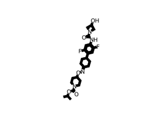 CC(C)OC(=O)N1CCC(ON=C2CCC(c3cc(F)c(NC(=O)N4CC(O)C4)cc3F)CC2)CC1